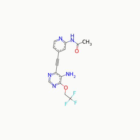 CC(=O)Nc1cc(C#Cc2ncnc(OCC(F)(F)F)c2N)ccn1